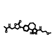 COCCNc1n[nH]c2c1CCCc1cc(N3CC(CNC(C)=O)OC3=O)ccc1-2